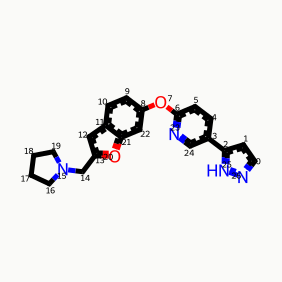 c1cc(-c2ccc(Oc3ccc4cc(CN5CCCC5)oc4c3)nc2)[nH]n1